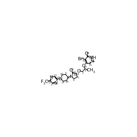 CC(CO[C@@H]1CCN(C2CCN(c3cnc(C(F)(F)F)cn3)CC2)C1=O)Oc1cn[nH]c(=O)c1Br